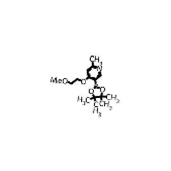 COCCOc1cc(C)ncc1B1OC(C)(C)C(C)(C)O1